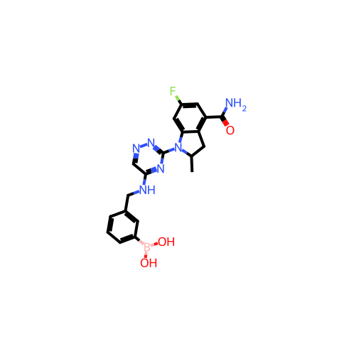 CC1Cc2c(C(N)=O)cc(F)cc2N1c1nncc(NCc2cccc(B(O)O)c2)n1